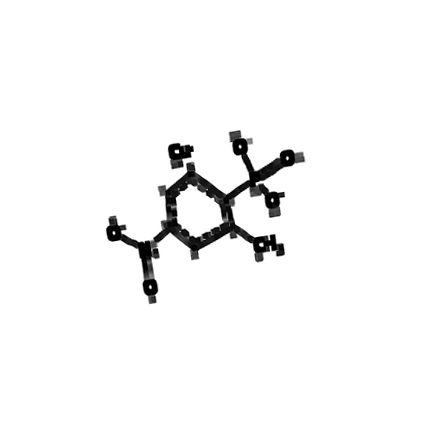 Cc1cc([N+](=O)[O-])ccc1P(=O)([O-])[O-].[Cu]